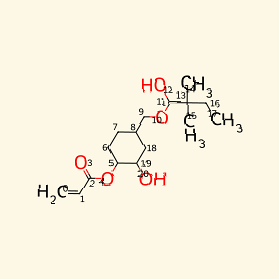 C=CC(=O)OC1CCC(COC(O)C(C)(C)CC)CC1O